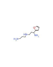 NCCCNCCC(N)c1ccco1